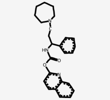 O=C(NC(CCN1CCCCCC1)c1ccccc1)Oc1ccc2ccccc2n1